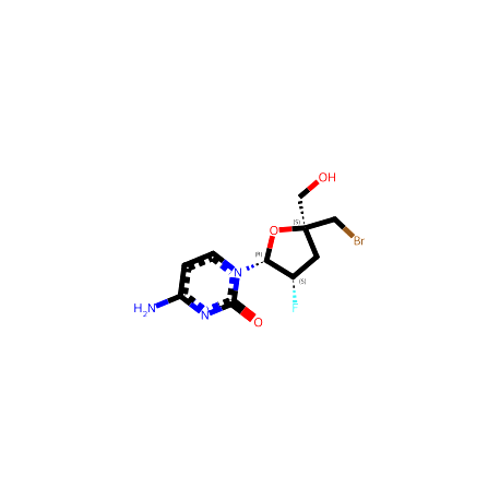 Nc1ccn([C@@H]2O[C@@](CO)(CBr)C[C@@H]2F)c(=O)n1